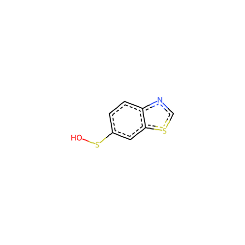 OSc1ccc2ncsc2c1